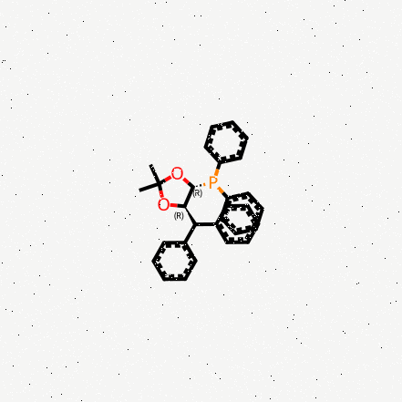 CC1(C)O[C@H](C(c2ccccc2)c2ccccc2)[C@@H](P(c2ccccc2)c2ccccc2)O1